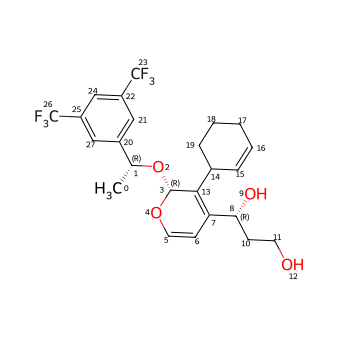 C[C@@H](O[C@H]1OC=CC([C@H](O)CCO)=C1C1C=CCCC1)c1cc(C(F)(F)F)cc(C(F)(F)F)c1